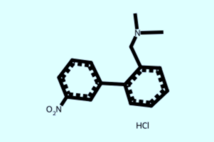 CN(C)Cc1ccccc1-c1cccc([N+](=O)[O-])c1.Cl